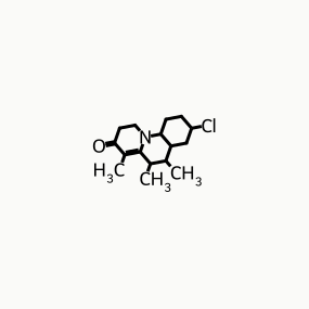 CC1=C2C(C)C(C)C3CC(Cl)CCC3N2CCC1=O